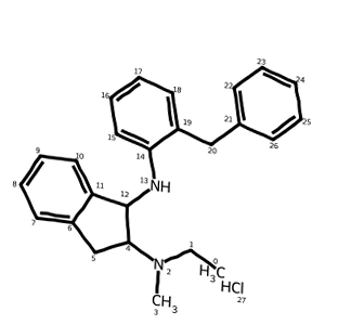 CCN(C)C1Cc2ccccc2C1Nc1ccccc1Cc1ccccc1.Cl